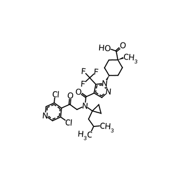 CC(C)CC1(N(CC(=O)c2c(Cl)cncc2Cl)C(=O)c2cnn([C@H]3CC[C@](C)(C(=O)O)CC3)c2C(F)(F)F)CC1